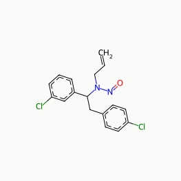 C=CCN(N=O)C(Cc1ccc(Cl)cc1)c1cccc(Cl)c1